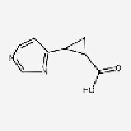 O=C(O)C1CC1c1ccncn1